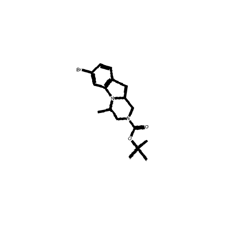 CC1CN(C(=O)OC(C)(C)C)CC2Cc3ccc(Br)cc3N12